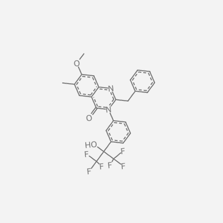 COc1cc2nc(Cc3ccccc3)n(-c3cccc(C(O)(C(F)(F)F)C(F)(F)F)c3)c(=O)c2cc1C